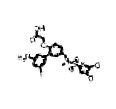 CN(Cc1ccc(OCC(=O)O)c(-c2cc(N)cc(F)c2)c1)S(=O)(=O)c1cc(Cl)c(Cl)s1